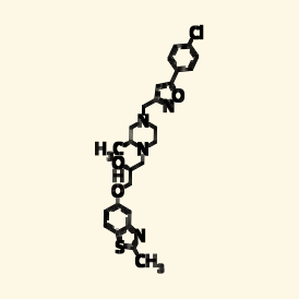 Cc1nc2cc(OC[C@@H](O)CN3CCN(Cc4cc(-c5ccc(Cl)cc5)on4)C[C@@H]3C)ccc2s1